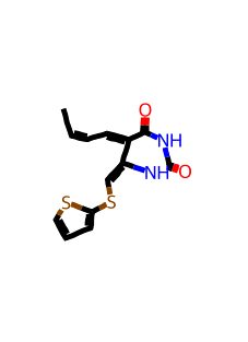 C\C=C/C=c1/c(=O)[nH]c(=O)[nH]/c1=C\Sc1cccs1